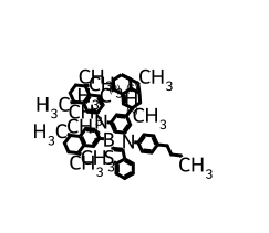 CCCCc1ccc(N2c3cc([C@@]4(C)C=C5[C@H](C)CC6C[C@H]5C(C4)C6C)cc4c3B(c3cc5c(cc3N4c3ccc4c(c3)C(C)(C)CCC4(C)C)C(C)(C)CCC5(C)C)c3sc4ccccc4c32)cc1